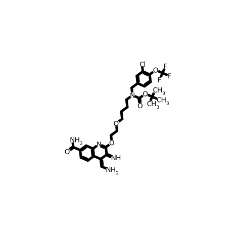 CC(C)(C)OC(=O)N(CCCCOCCOC1=Nc2cc(C(N)=O)ccc2/C(=C/N)C1=N)Cc1ccc(OC(F)(F)F)c(Cl)c1